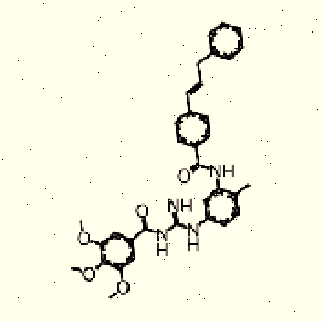 COc1cc(C(=O)NC(=N)Nc2ccc(C)c(NC(=O)c3ccc(/C=C/Cc4ccccc4)cc3)c2)cc(OC)c1OC